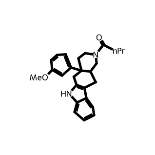 CCCC(=O)N1CCC2(c3cccc(OC)c3)Cc3[nH]c4ccccc4c3CC2C1